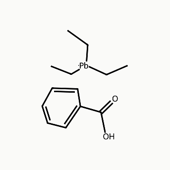 C[CH2][Pb]([CH2]C)[CH2]C.O=C(O)c1ccccc1